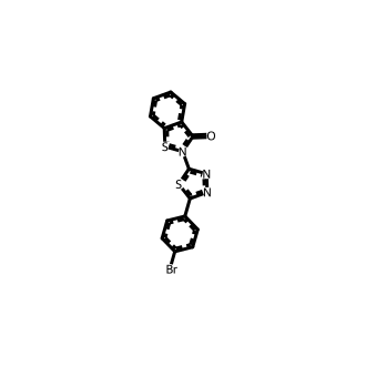 O=c1c2ccccc2sn1-c1nnc(-c2ccc(Br)cc2)s1